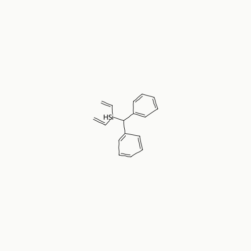 C=C[SiH](C=C)C(c1ccccc1)c1ccccc1